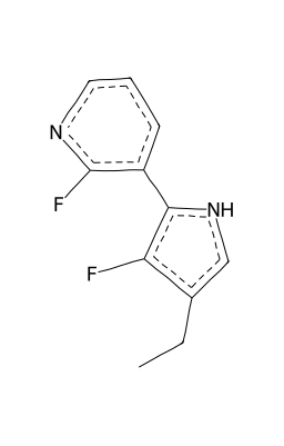 CCc1c[nH]c(-c2cccnc2F)c1F